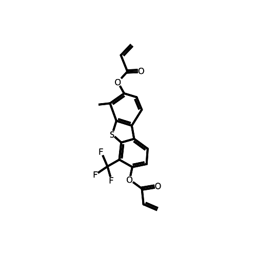 C=CC(=O)Oc1ccc2c(sc3c(C(F)(F)F)c(OC(=O)C=C)ccc32)c1C